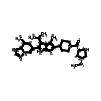 CO[C@H]1CN[C@@H](C(=O)N2CCC(c3sc4[nH]c(C5=CN6N=CNC6C(C)=C5)c(C(C)C)c4c3C)CC2)C1